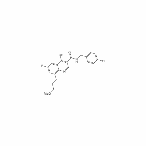 COCCCc1cc(F)cc2c(O)c(C(=O)NCc3ccc(Cl)cc3)cnc12